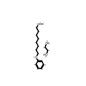 CCCCCCCCCCCCCCCCCCOc1ccccc1.OCCO